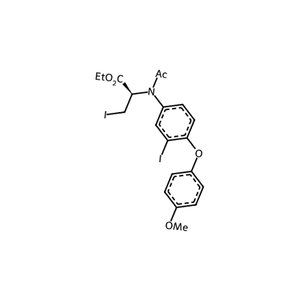 CCOC(=O)[C@H](CI)N(C(C)=O)c1ccc(Oc2ccc(OC)cc2)c(I)c1